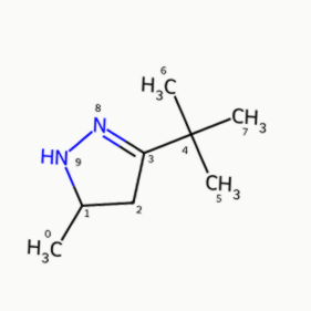 CC1CC(C(C)(C)C)=NN1